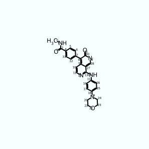 CNC(=O)c1ccc(C2=c3ccnc(Nc4ccc(N5CCOCC5)cc4)c3=C[N]C2=O)cc1